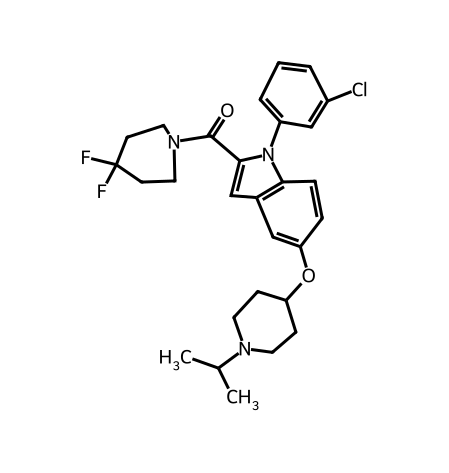 CC(C)N1CCC(Oc2ccc3c(c2)cc(C(=O)N2CCC(F)(F)CC2)n3-c2cccc(Cl)c2)CC1